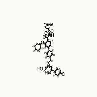 COCCS(=O)(=O)NC(=O)c1ccc(-c2ccc(CCN(C[C@H](O)c3ccc(Cl)nc3)C(=O)O)cc2)cc1OC1CCCCC1